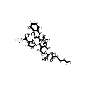 CCCCCC(=O)NC(=N)N1CCC(CN([C@H](Cc2ccccc2)C(=O)N2CCC[C@H]2C(N)=O)S(C)(=O)=O)CC1